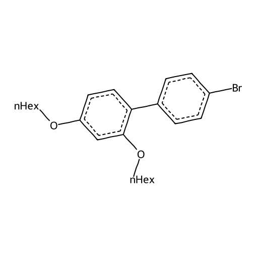 CCCCCCOc1ccc(-c2ccc(Br)cc2)c(OCCCCCC)c1